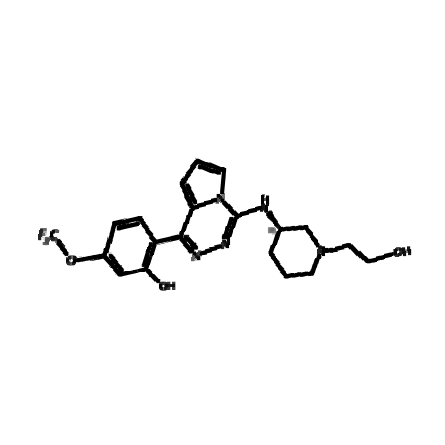 OCCN1CCC[C@@H](Nc2nnc(-c3ccc(OC(F)(F)F)cc3O)c3cccn23)C1